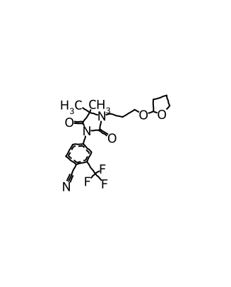 CC1(C)C(=O)N(c2ccc(C#N)c(C(F)(F)F)c2)C(=O)N1CCCOC1CCCO1